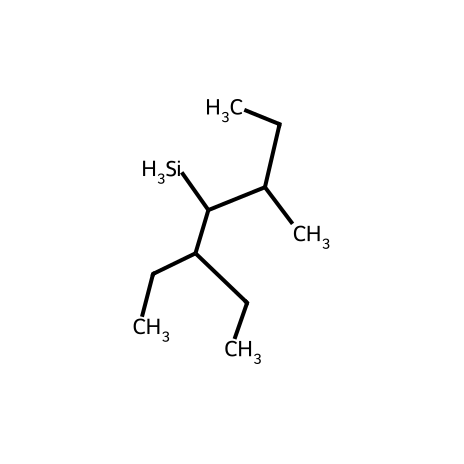 CCC(C)C([SiH3])C(CC)CC